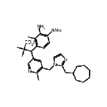 CNc1ccc(C(c2cnc(C)c(Cn3ccnc3CC3CCCCCC3)c2)C(C)(C)C(=O)O)c(C)c1N